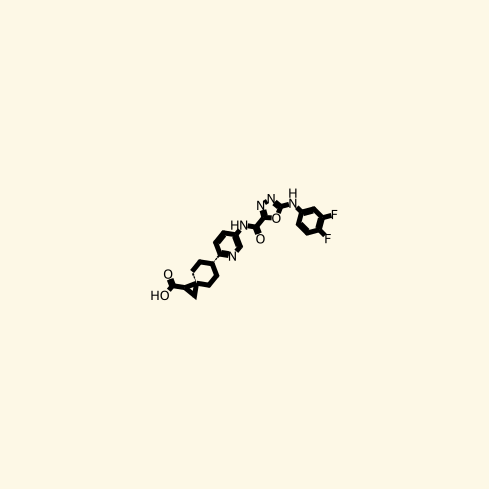 O=C(Nc1ccc([C@H]2CC[C@]3(CC2)CC3C(=O)O)nc1)c1nnc(Nc2ccc(F)c(F)c2)o1